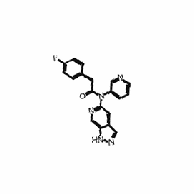 O=C(Cc1ccc(F)cc1)N(c1cccnc1)c1cc2cn[nH]c2cn1